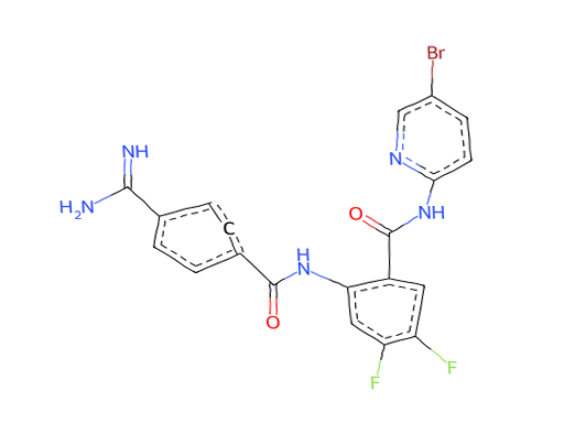 N=C(N)c1ccc(C(=O)Nc2cc(F)c(F)cc2C(=O)Nc2ccc(Br)cn2)cc1